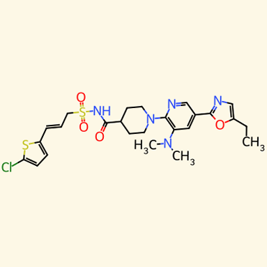 CCc1cnc(-c2cnc(N3CCC(C(=O)NS(=O)(=O)CC=Cc4ccc(Cl)s4)CC3)c(N(C)C)c2)o1